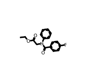 CCOC(=O)CN(C(=O)c1ccc(F)cc1)c1ccccc1